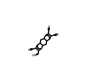 N#CC1C(C#N)C2CC1C1CC3C4CC(C(C=N)C4C#N)C3CC21